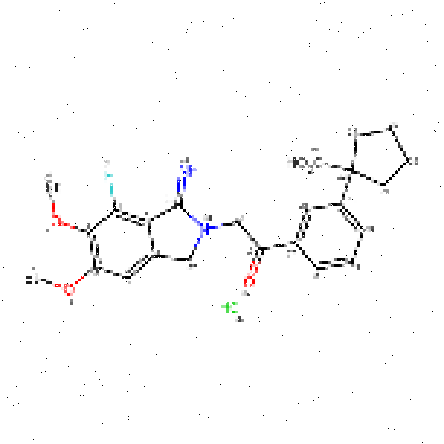 CCOc1cc2c(c(F)c1OCC)C(=N)N(CC(=O)c1cccc(C3(C(=O)O)CCCC3)c1)C2.Cl